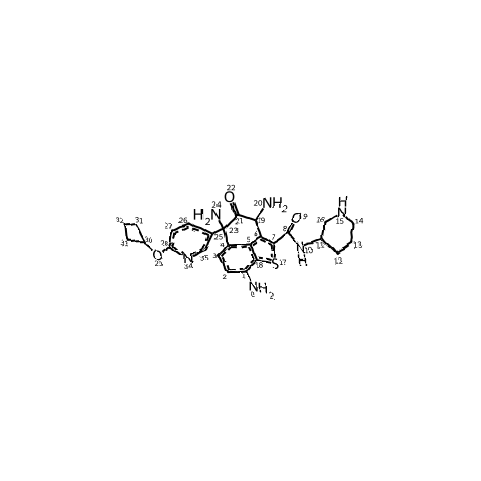 Nc1ccc2c3c(c(C(=O)NC4CCCNC4)sc13)C(N)C(=O)C2(N)c1ccc(OC2CCC2)nc1